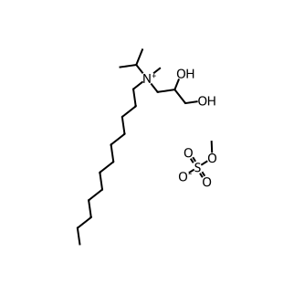 CCCCCCCCCCCC[N+](C)(CC(O)CO)C(C)C.COS(=O)(=O)[O-]